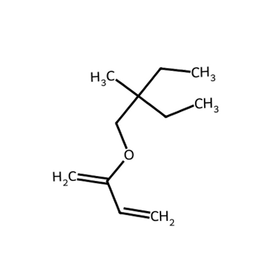 C=CC(=C)OCC(C)(CC)CC